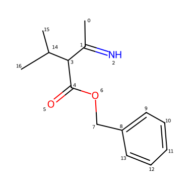 CC(=N)C(C(=O)OCc1ccccc1)C(C)C